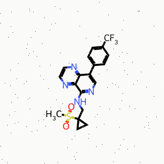 CS(=O)(=O)C1(CNc2ncc(-c3ccc(C(F)(F)F)cc3)c3nccnc23)CC1